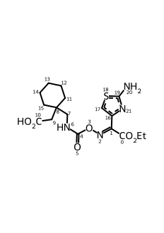 CCOC(=O)C(=NOC(=O)NCC1(CC(=O)O)CCCCC1)c1csc(N)n1